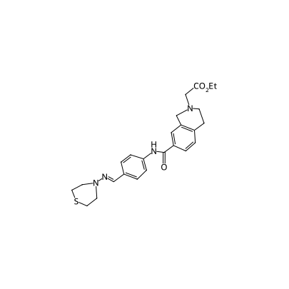 CCOC(=O)CN1CCc2ccc(C(=O)Nc3ccc(C=NN4CCSCC4)cc3)cc2C1